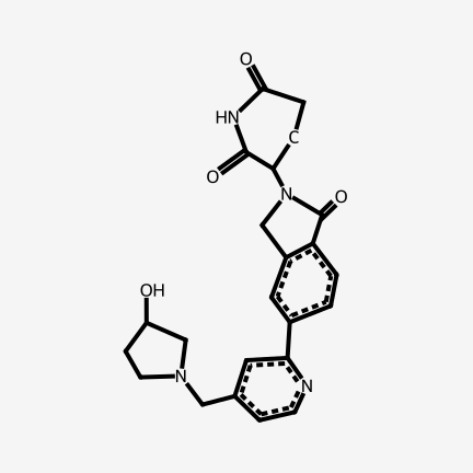 O=C1CCC(N2Cc3cc(-c4cc(CN5CCC(O)C5)ccn4)ccc3C2=O)C(=O)N1